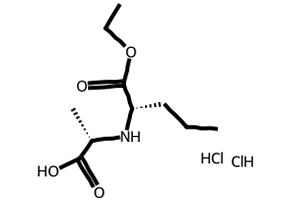 CCC[C@H](N[C@@H](C)C(=O)O)C(=O)OCC.Cl.Cl